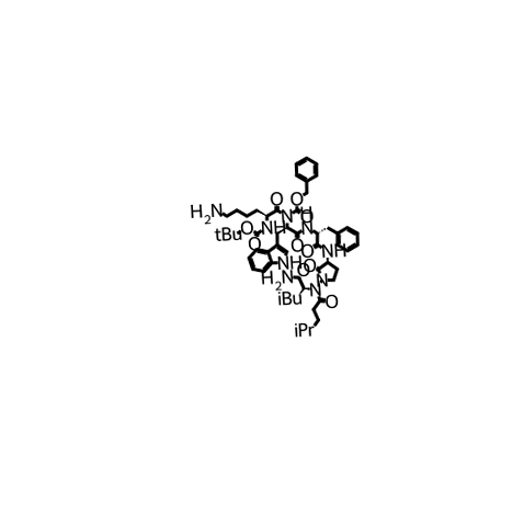 CC[C@H](C)[C@@H](C(N)=O)N(C(=O)CCC(C)C)N1CC[C@H](NC(=O)[C@@H](Cc2ccccc2)NC(=O)[C@@H](Cc2c[nH]c3ccccc23)N(C(=O)OCc2ccccc2)C(=O)[C@H](CCCCN)NC(=O)OC(C)(C)C)C1=O